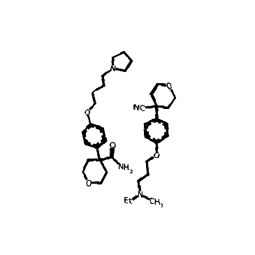 CCN(C)CCCOc1ccc(C2(C#N)CCOCC2)cc1.NC(=O)C1(c2ccc(OCCCCN3CCCC3)cc2)CCOCC1